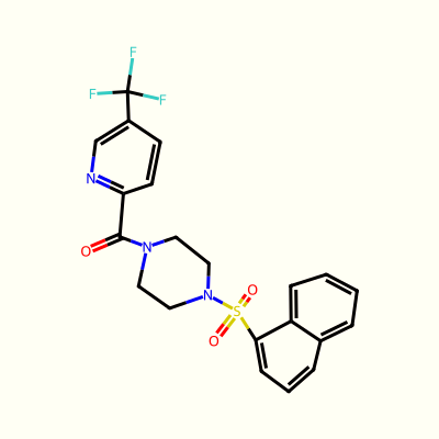 O=C(c1ccc(C(F)(F)F)cn1)N1CCN(S(=O)(=O)c2cccc3ccccc23)CC1